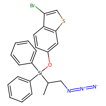 CC(CN=[N+]=[N-])[Si](Oc1ccc2c(Br)csc2c1)(c1ccccc1)c1ccccc1